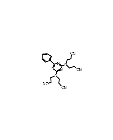 N#CCCN(CCC#N)c1nc(-c2ccccc2)nc(N(CCC#N)CCC#N)n1